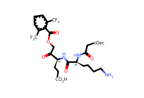 CCCCCCCCCCCC(=O)N[C@@H](CCCCN)C(=O)N[C@@H](CCC(=O)O)C(=O)COC(=O)c1c(C(F)(F)F)cccc1C(F)(F)F